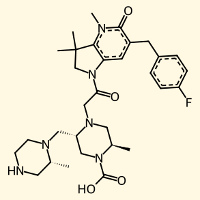 C[C@@H]1CNCCN1C[C@H]1CN(C(=O)O)[C@H](C)CN1CC(=O)N1CC(C)(C)c2c1cc(Cc1ccc(F)cc1)c(=O)n2C